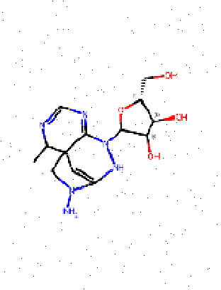 CC1N=CN=C2N(C3O[C@H](CO)[C@@H](O)[C@H]3O)NC3=CC21CN3N